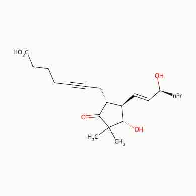 CCC[C@H](O)/C=C/[C@@H]1[C@@H](CC#CCCCC(=O)O)C(=O)C(C)(C)[C@H]1O